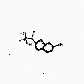 CC(C)c1ccc2ccc([C@H](F)P(=O)(O)O)cc2c1